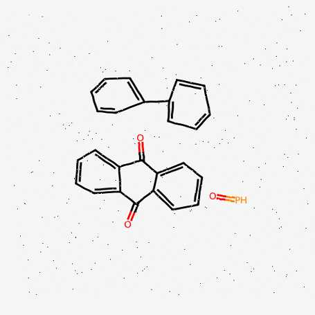 O=C1c2ccccc2C(=O)c2ccccc21.O=P.c1ccc(-c2ccccc2)cc1